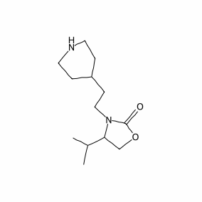 CC(C)C1COC(=O)N1CCC1CCNCC1